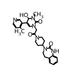 Cc1ccncc1C1=CN(CC(=O)N2CCC(N3CCc4ccccc4NC3=O)CC2)C(=O)N(C)C1O